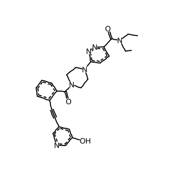 CCN(CC)C(=O)c1ccc(N2CCN(C(=O)c3ccccc3C#Cc3cncc(O)c3)CC2)nn1